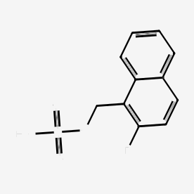 CS(=O)(=O)OCc1c(F)ccc2ccccc12